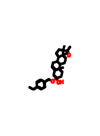 CCc1ccc(COC2(O)CCC3(C)C(=CCC4C3CCC3(C)C4CCC3(C)C(C)=O)C2)cc1